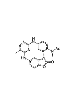 CC(=O)N(C)c1ccc(Nc2ncc(C)c(Nc3ccc4oc(=O)[nH]c4c3)n2)cc1